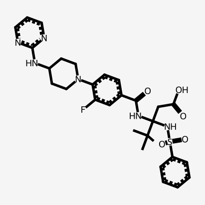 CC(C)(C)C(CC(=O)O)(NC(=O)c1ccc(N2CCC(Nc3ncccn3)CC2)c(F)c1)NS(=O)(=O)c1ccccc1